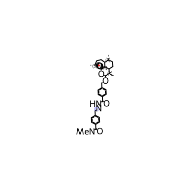 CNC(=O)c1ccc(/C=N/NC(=O)c2ccc(COC3OC4O[C@]5(C)CCC6[C@H](C)CCC([C@H]3C)[C@@]46OO5)cc2)cc1